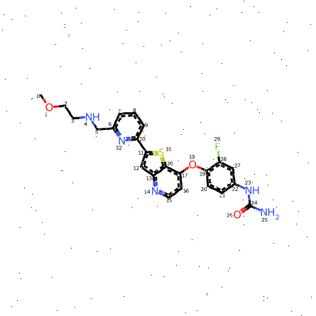 COCCNCc1cccc(-c2cc3nccc(Oc4ccc(NC(N)=O)cc4F)c3s2)n1